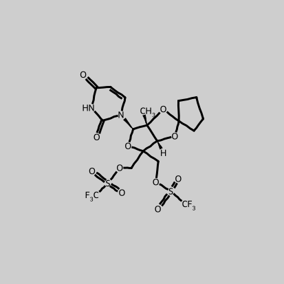 C[C@@]12OC3(CCCC3)O[C@@H]1C(COS(=O)(=O)C(F)(F)F)(COS(=O)(=O)C(F)(F)F)O[C@H]2n1ccc(=O)[nH]c1=O